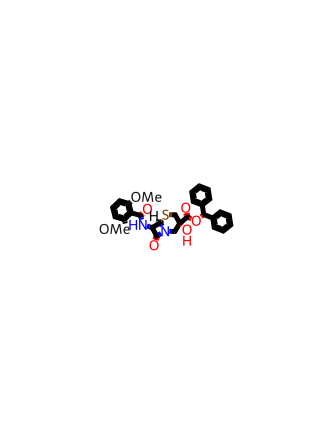 COc1cccc(OC)c1C(=O)NC1C(=O)N2CC(O)(C(=O)OC(c3ccccc3)c3ccccc3)CS[C@H]12